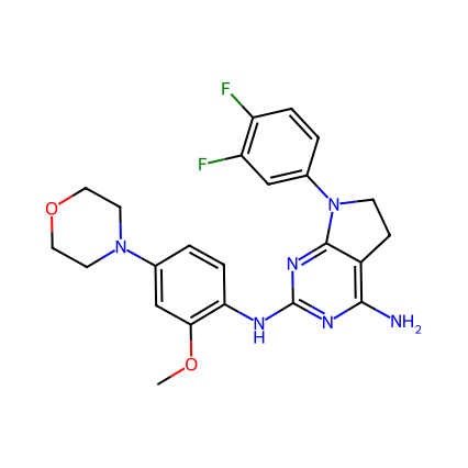 COc1cc(N2CCOCC2)ccc1Nc1nc(N)c2c(n1)N(c1ccc(F)c(F)c1)CC2